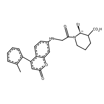 CC[C@H]1C(C(=O)O)CCCN1C(=O)CNc1ccc2c(-c3ccccc3C)cc(=O)oc2c1